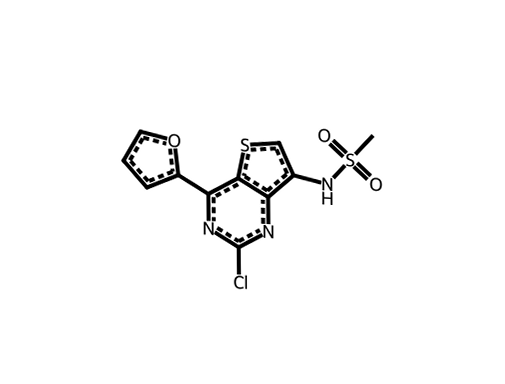 CS(=O)(=O)Nc1csc2c(-c3ccco3)nc(Cl)nc12